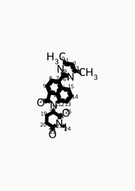 Cc1cc(C)nc(-c2ccc3c4c(cccc24)N(C2CCC(=O)N(I)C2=O)C3=O)n1